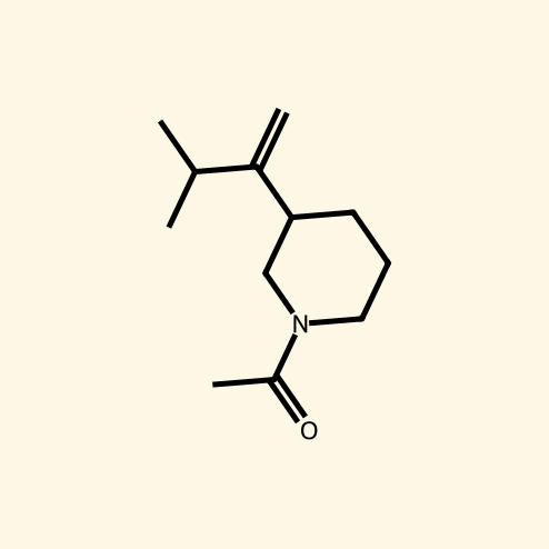 C=C(C(C)C)C1CCCN(C(C)=O)C1